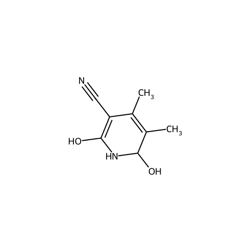 CC1=C(C)C(O)NC(O)=C1C#N